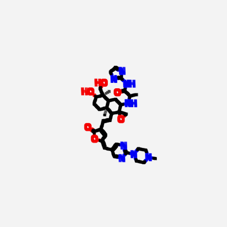 CC(NC1CC2[C@](C)(CC[C@@H](O)[C@@]2(C)CO)C(/C=C/C2=CC(=C\c3cnc(N4CCN(C)CC4)nc3)/OC2=O)C12CO2)C(=O)NC1=NCC=N1